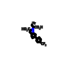 CC(C)C[C@H](NC(Cc1ccc(-c2ccc(C(F)(F)F)cc2)cc1)C(=O)O)C(=O)O